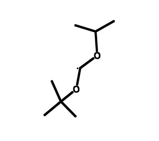 CC(C)O[CH]OC(C)(C)C